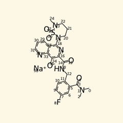 CN(C)C(=O)c1cc(F)ccc1CNC(=O)c1nc(N2CCCN(C)S2(=O)=O)c2cccnc2c1[O-].[Na+]